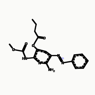 CCCC(=O)Oc1cc(/N=N/c2ccccc2)c(N)nc1NC(=O)OC